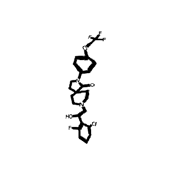 O=C1N(c2ccc(OCC(F)(F)F)cc2)CCC12CCN(CC(O)c1c(F)cccc1Cl)CC2